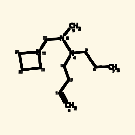 C=CCCN(CCC)N(C)CN1CCC1